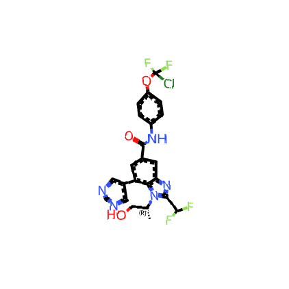 C[C@H](CO)n1c(C(F)F)nc2cc(C(=O)Nc3ccc(OC(F)(F)Cl)cc3)cc(-c3cncnc3)c21